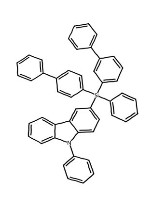 c1ccc(-c2ccc([Si](c3ccccc3)(c3cccc(-c4ccccc4)c3)c3ccc4c(c3)c3ccccc3n4-c3ccccc3)cc2)cc1